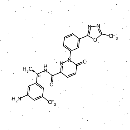 Cc1nnc(-c2cccc(-n3nc(C(=O)N[C@H](C)c4cc(N)cc(C(F)(F)F)c4)ccc3=O)c2)o1